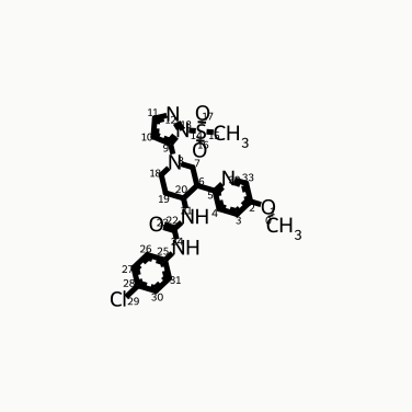 COc1ccc(C2CN(c3ccnn3S(C)(=O)=O)CCC2NC(=O)Nc2ccc(Cl)cc2)nc1